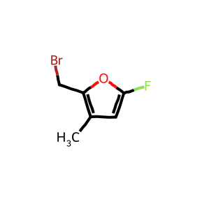 Cc1cc(F)oc1CBr